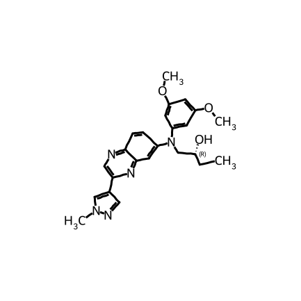 CC[C@@H](O)CN(c1cc(OC)cc(OC)c1)c1ccc2ncc(-c3cnn(C)c3)nc2c1